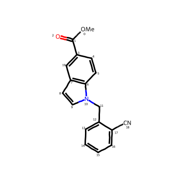 COC(=O)c1ccc2c(ccn2Cc2ccccc2C#N)c1